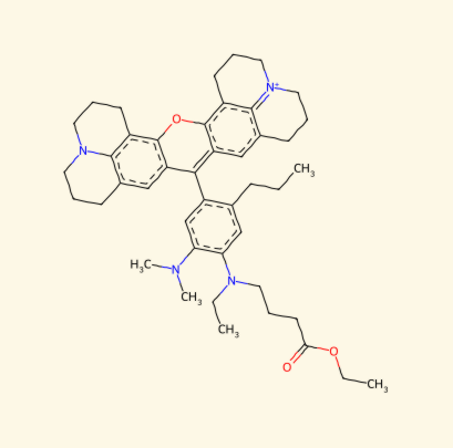 CCCc1cc(N(CC)CCCC(=O)OCC)c(N(C)C)cc1C1=c2cc3c4c(c2Oc2c1cc1c5c2CCCN5CCC1)CCC[N+]=4CCC3